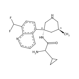 C[C@@H]1CNC[C@](NC(=O)C(N)C2CC2)(c2ccc(C(F)F)c3ncccc23)C1